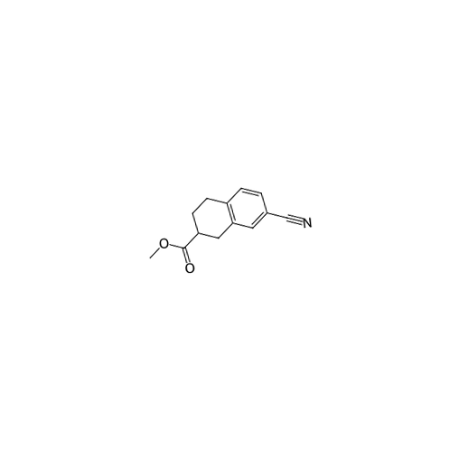 COC(=O)C1CCc2ccc(C#N)cc2C1